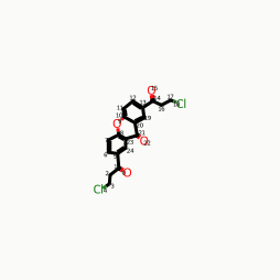 O=C(CCCl)c1ccc2oc3ccc(C(=O)CCCl)cc3c(=O)c2c1